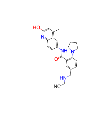 Cc1cc(O)nc2ccc(NC(=O)c3cc(CNCC#N)ccc3N3CCCC3)cc12